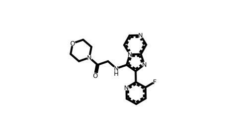 O=C(CNc1c(-c2ncccc2F)nc2cnccn12)N1CCOCC1